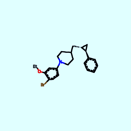 CCOc1cc(N2CCC(C[C@@H]3C[C@H]3c3ccccc3)CC2)ccc1Br